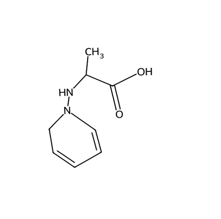 CC(NN1C=CC=CC1)C(=O)O